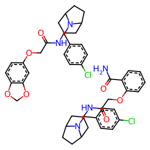 NC(=O)c1ccccc1OCC(=O)NC1CC2CCC(C1)N2Cc1ccc(Cl)cc1.O=C(COc1ccc2c(c1)OCO2)NC1CC2CCC(C1)N2Cc1ccc(Cl)cc1